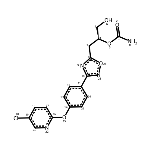 NC(=O)O[C@H](CO)Cc1nc(-c2ccc(Oc3ccc(Cl)cn3)cc2)no1